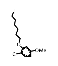 COc1ccc(Cl)c(OCCCCCCI)c1